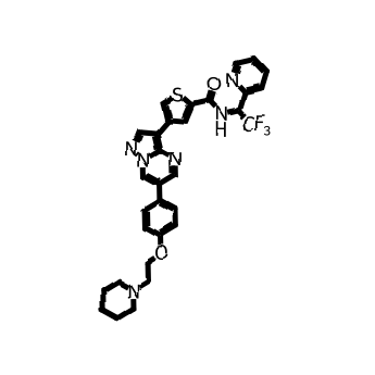 O=C(NC(c1ccccn1)C(F)(F)F)c1cc(-c2cnn3cc(-c4ccc(OCCN5CCCCC5)cc4)cnc23)cs1